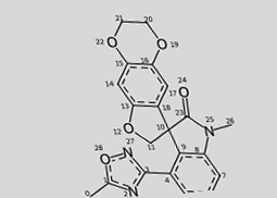 Cc1nc(-c2cccc3c2C2(COc4cc5c(cc42)OCCO5)C(=O)N3C)no1